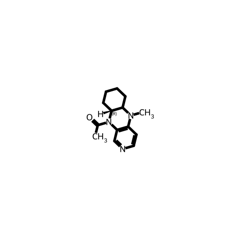 CC(=O)N1c2cnccc2N(C)C2CCCC[C@H]21